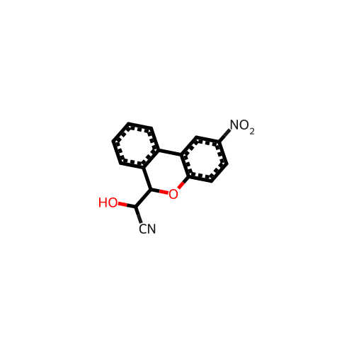 N#CC(O)C1Oc2ccc([N+](=O)[O-])cc2-c2ccccc21